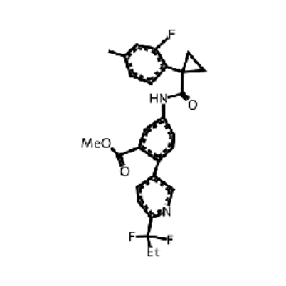 CCC(F)(F)c1ccc(-c2ccc(NC(=O)C3(c4ccc(C)cc4F)CC3)cc2C(=O)OC)cn1